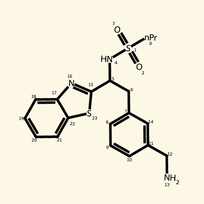 CCCS(=O)(=O)NC(Cc1cccc(CN)c1)c1nc2ccccc2s1